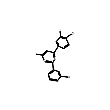 Cc1cc(-c2ccc(Cl)c(Cl)c2)nc(-c2cccc(Br)c2)n1